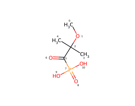 COC(C)(C)C(=O)P(=O)(O)O